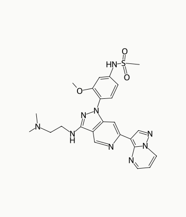 COc1cc(NS(C)(=O)=O)ccc1-n1nc(NCCN(C)C)c2cnc(-c3cnn4cccnc34)cc21